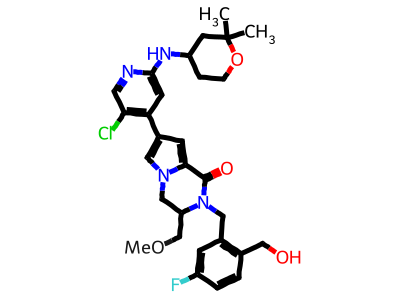 COCC1Cn2cc(-c3cc(NC4CCOC(C)(C)C4)ncc3Cl)cc2C(=O)N1Cc1cc(F)ccc1CO